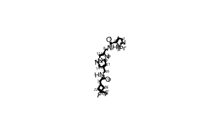 CC(C)n1nccc1C(=O)NCc1cn2ncc(CNC(=O)CC3CC(F)(F)C3)cc2n1